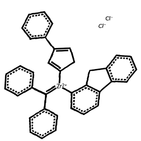 C1=C(c2ccccc2)C=[C]([Zr+2](=[C](c2ccccc2)c2ccccc2)[c]2cccc3c2Cc2ccccc2-3)C1.[Cl-].[Cl-]